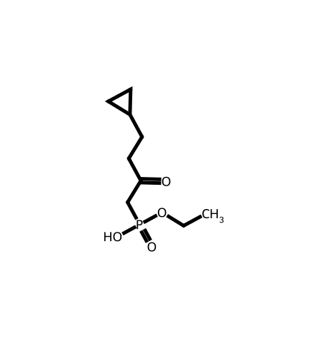 CCOP(=O)(O)CC(=O)CCC1CC1